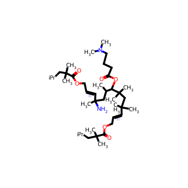 CC(C)CC(C)(C)C(=O)OC/C=C/C(C)(C)CC(C)(C)C(OC(=O)CCCN(C)C)C(C)CC(C)(N)/C=C/COC(=O)C(C)(C)CC(C)C